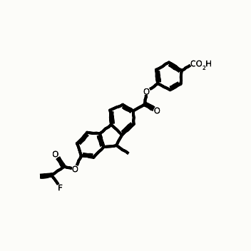 C=C(F)C(=O)Oc1ccc2c(c1)C(C)c1cc(C(=O)Oc3ccc(C(=O)O)cc3)ccc1-2